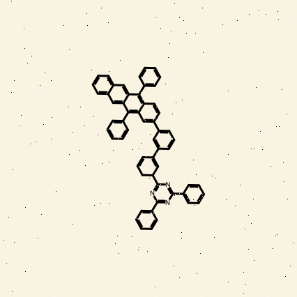 C1=CC(c2cccc(-c3ccc4c(-c5ccccc5)c5cc6ccccc6cc5c(-c5ccccc5)c4c3)c2)=CC(c2nc(-c3ccccc3)nc(-c3ccccc3)n2)C1